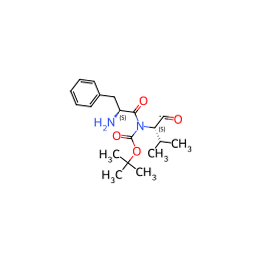 CC(C)[C@@H]([C]=O)N(C(=O)OC(C)(C)C)C(=O)[C@@H](N)Cc1ccccc1